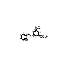 O=C(O)c1cc(OCc2ccccc2F)cc([N+](=O)[O-])c1